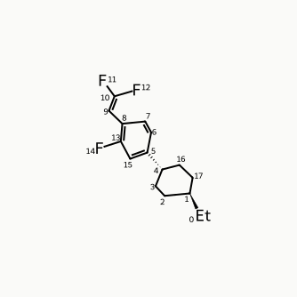 CC[C@H]1CC[C@H](c2ccc(C=C(F)F)c(F)c2)CC1